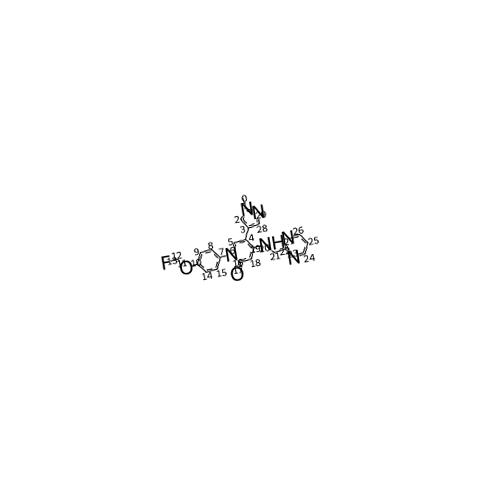 Cn1cc(-c2cn(-c3ccc(OCF)cc3)c(=O)cc2NCc2ncccn2)cn1